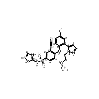 COCCn1nccc1-c1cc(Cl)ccc1Oc1ccc(S(=O)(=O)Nc2ncns2)cc1C#N